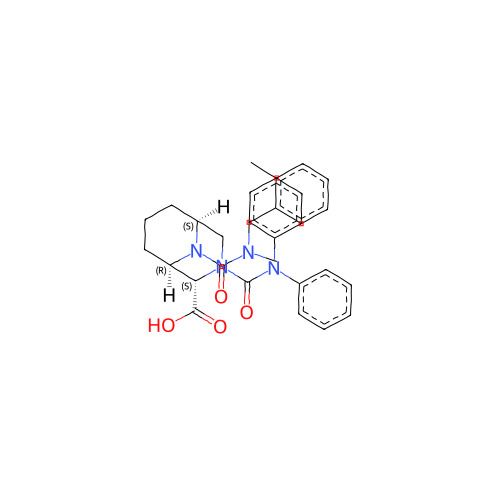 Cc1ccccc1CN(C)C(=O)N1[C@H]2CCC[C@@H]1[C@@H](C(=O)O)N(C(=O)N(c1ccccc1)c1ccccc1)C2